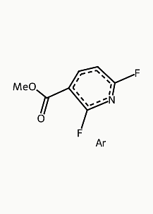 COC(=O)c1ccc(F)nc1F.[Ar]